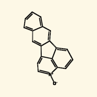 [O-][n+]1ccc2c3c(cccc31)-c1cc3ccccc3cc1-2